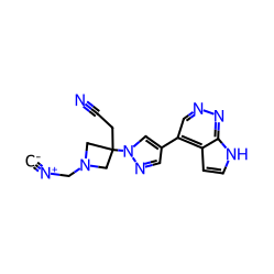 [C-]#[N+]CN1CC(CC#N)(n2cc(-c3cnnc4[nH]ccc34)cn2)C1